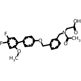 COc1cc(F)c(F)cc1-c1ccc(OCc2cccc(CN(CC(=O)O)C(C)=O)c2)cc1